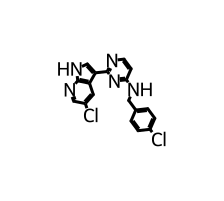 Clc1ccc(CNc2ccnc(-c3c[nH]c4ncc(Cl)cc34)n2)cc1